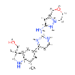 CC1(CO)CNc2c(C#N)cc(-c3ccnc(Nc4cc5n(n4)CCOC5)n3)cc21